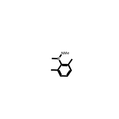 CNB(C)c1c(C)cccc1C